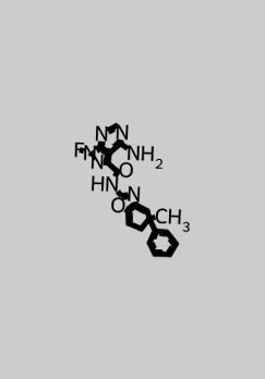 CC1(c2ccccc2)C=c2nc(NC(=O)c3nn(F)c4ncnc(N)c34)oc2=CC1